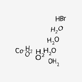 Br.O.O.O.O.O.O.[Co]